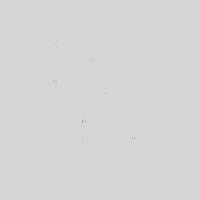 CCN1C(=O)C(C)(C)C(=O)N(C)c2cc(CN(CCn3ccc4oc(C)cc4c3=O)Cc3cccnc3COC(C)=O)ccc21